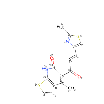 Cc1nc(C=CC(=O)c2c(C)c3ccsc3[nH]c2=O)cs1